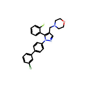 Fc1ccccc1-c1c(CN2CCOCC2)cnn1-c1ccc(-c2cccc(Cl)c2)cc1